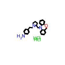 Cl.Cl.Nc1ccc(CCN2CCCC2CN2c3ccccc3COc3ccccc32)cc1